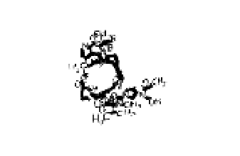 C=CC(=O)N(CCO)[C@H]1CCN(C(=O)N(C)[C@H](C(=O)N[C@@]2([SiH3])Cc3ncc(o3)-c3ccc4c(c3)c(c(-c3cccnc3[C@H](C)OC)n4CC(F)(F)F)CC(C)(C)COC(=O)[C@@H]3CCCN(N3)C2=O)C(C)C)C1